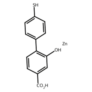 O=C(O)c1ccc(-c2ccc(S)cc2)c(O)c1.[Zn]